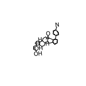 C[C@]12CC[C@H]3[C@@H](CCC4=C5C(=O)CC[C@@]43Cc3cccc(-c4ccc(C#N)cc4)c35)[C@@H]1CC[C@@]2(O)/C=C\CO